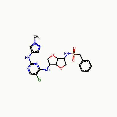 Cn1cc(Nc2ncc(Cl)c(NC3COC4C(NS(=O)(=O)Cc5ccccc5)COC34)n2)cn1